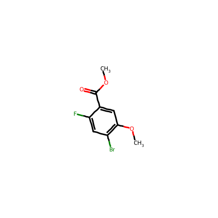 COC(=O)c1cc(OC)c(Br)cc1F